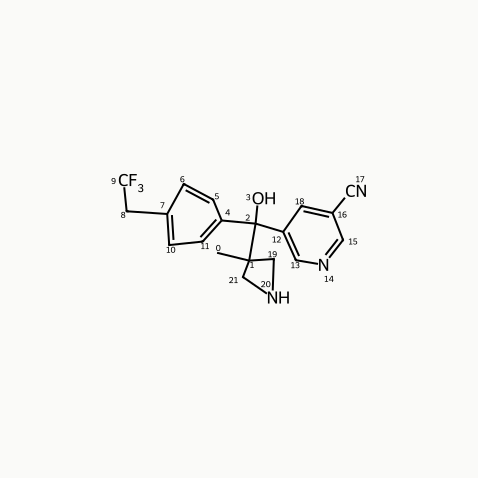 CC1(C(O)(c2ccc(CC(F)(F)F)cc2)c2cncc(C#N)c2)CNC1